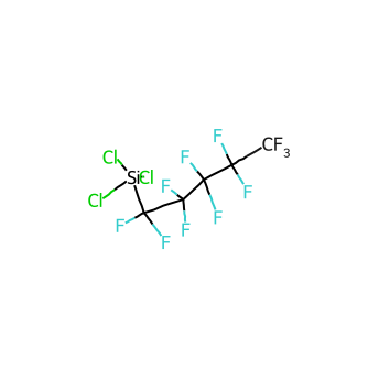 FC(F)(F)C(F)(F)C(F)(F)C(F)(F)C(F)(F)[Si](Cl)(Cl)Cl